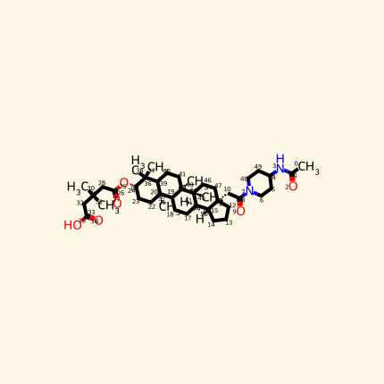 CC(=O)NC1CCN(C(=O)C[C@]23CCC[C@@H]2[C@H]2CCC4[C@@]5(C)CC[C@H](OC(=O)CC(C)(C)CC(=O)O)C(C)(C)C5CC[C@@]4(C)[C@]2(C)CC3)CC1